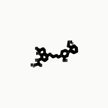 COc1ccccc1N1CCN(CCCOc2ccc(NC(C)=O)c3c2CCC(=O)N3)C(O)C1